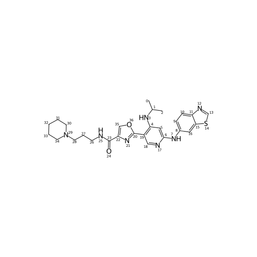 CC(C)Nc1cc(Nc2ccc3ncsc3c2)ncc1-c1nc(C(=O)NCCCN2CCCCC2)co1